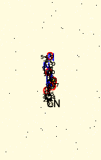 Cc1noc(C)c1CN1CC2CN(CCN(CCOc3ccc(C#N)cc3)S(C)(=O)=O)CC(C1)O2